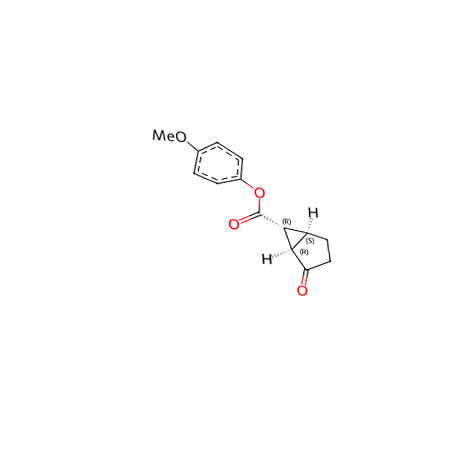 COc1ccc(OC(=O)[C@@H]2[C@H]3CCC(=O)[C@H]32)cc1